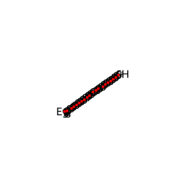 CCS(=S)(=S)SSSSSSSSSSSSSSSSSSSSSSSSSSSSSSSSSSSSSSSSS